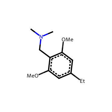 CCc1cc(OC)c(CN(C)C)c(OC)c1